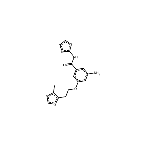 Cc1ncsc1CCOc1cc(N)cc(C(=O)Nc2nncs2)c1